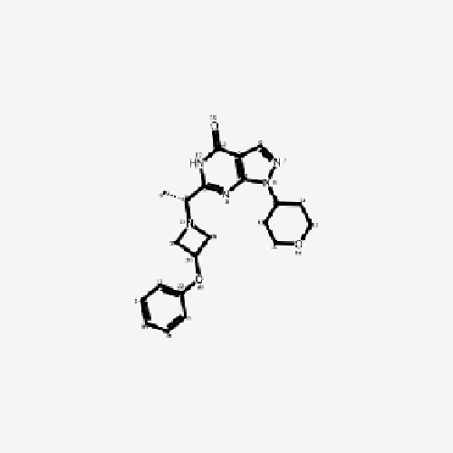 C[C@H](c1nc2c(cnn2C2CCOCC2)c(=O)[nH]1)N1CC(Oc2ccccc2)C1